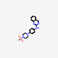 CS(=O)(=O)N1CCN(c2ccc(Nc3ncc4ccccc4n3)cc2)CC1